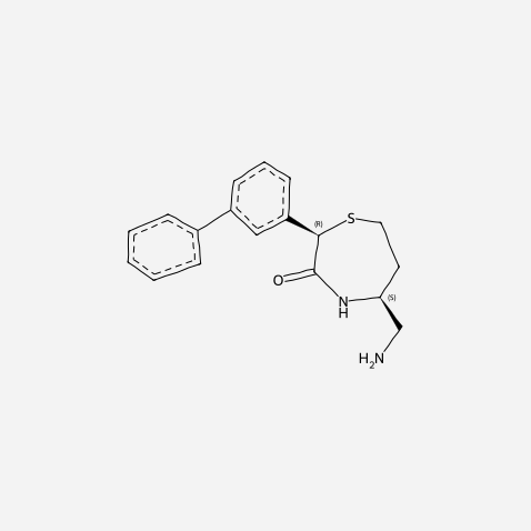 NC[C@@H]1CCS[C@H](c2cccc(-c3ccccc3)c2)C(=O)N1